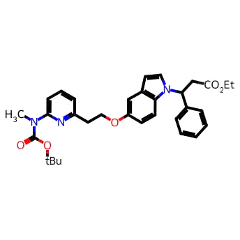 CCOC(=O)CC(c1ccccc1)n1ccc2cc(OCCc3cccc(N(C)C(=O)OC(C)(C)C)n3)ccc21